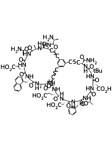 CC(O)C[C@@H]1NC(=O)[C@H](Cc2ccccc2)NC(=O)[C@H](CC(=O)O)NC(=O)[C@H](CCC(=O)O)NC(=O)[C@H]2CSCc3cc(cc(c3)CSC[C@H](NC(=O)[C@H](C)N)C(=O)N[C@H](C)C(=O)N[C@@H](CC(N)=O)C(=O)N[C@@H](CCC(=O)O)C(=O)N[C@@H](Cc3cccc4ccccc34)C(=O)N[C@H](C)C(=O)N2)CSC[C@@H](C(N)=O)NC(=O)[C@H](C(C)(C)C)NC(=O)[C@H](CC(=O)O)NC1=O